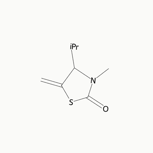 C=C1SC(=O)N(C)C1C(C)C